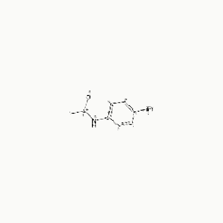 CC(C)c1ccc(N[S+](C)[O-])cc1